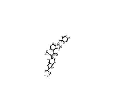 CC(C)(C)OC(=O)n1cc2c(n1)CCC(N(C(=O)c1cccc3c1cnn3Cc1ccccc1)C1CC1)C2